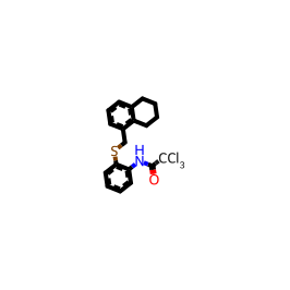 O=C(Nc1ccccc1SCc1cccc2c1CCCC2)C(Cl)(Cl)Cl